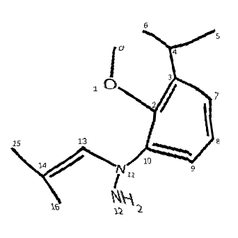 COc1c(C(C)C)cccc1N(N)C=C(C)C